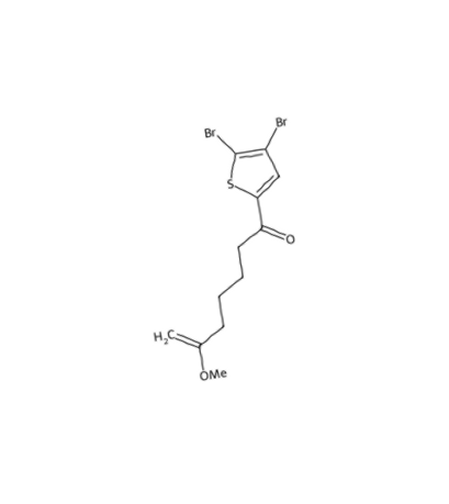 C=C(CCCCC(=O)c1cc(Br)c(Br)s1)OC